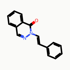 O=c1c2ccccc2cnn1C=Cc1ccccc1